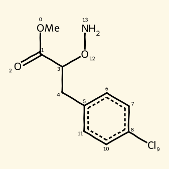 COC(=O)C(Cc1ccc(Cl)cc1)ON